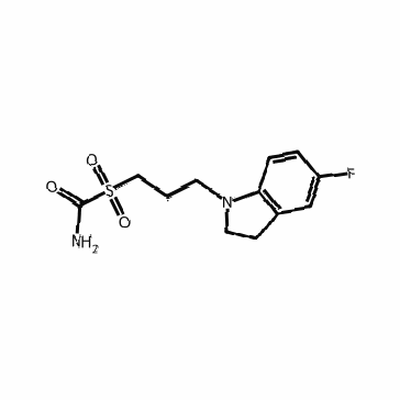 NC(=O)S(=O)(=O)C[CH]CN1CCc2cc(F)ccc21